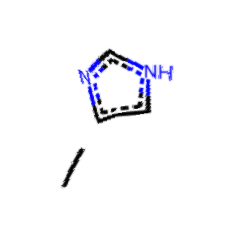 CC.c1c[nH]cn1